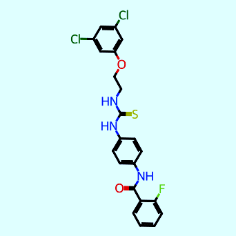 O=C(Nc1ccc(NC(=S)NCCOc2cc(Cl)cc(Cl)c2)cc1)c1ccccc1F